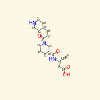 C#CC(CC(=O)O)NC(=O)[C@@H]1CCCN(C(=O)/C=C\C2CCNCC2)C1